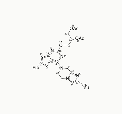 CCc1cc2c(N3CCn4cc(C(F)(F)F)nc4C3)nc(OCC(COC(C)=O)OC(C)=O)nc2s1